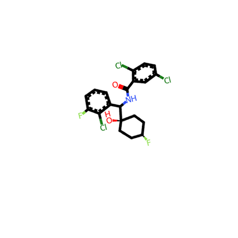 O=C(NC(c1cccc(F)c1Cl)[C@]1(O)CC[C@@H](F)CC1)c1cc(Cl)ccc1Cl